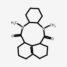 CN1C(=O)C2CCCC3=C2C(CCC3)C(=O)N(C)C2CCCCC21